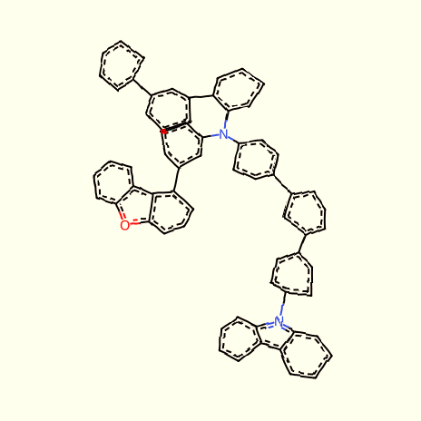 c1ccc(-c2cccc(-c3ccccc3N(c3ccc(-c4cccc(-c5ccc(-n6c7ccccc7c7ccccc76)cc5)c4)cc3)c3cccc(-c4cccc5oc6ccccc6c45)c3)c2)cc1